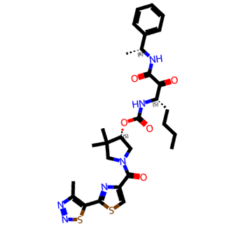 CCCC[C@H](NC(=O)O[C@@H]1CN(C(=O)c2csc(-c3snnc3C)n2)CC1(C)C)C(=O)C(=O)N[C@H](C)c1ccccc1